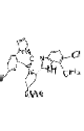 CO[C@@H]1C[C@@H](c2nc3ccc(Cl)c(C)c3[nH]2)N(C(=O)c2cc(Cl)ccc2-n2nccn2)C1